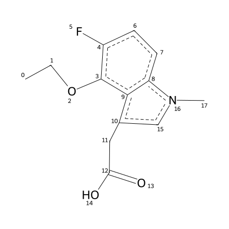 CCOc1c(F)ccc2c1c(CC(=O)O)cn2C